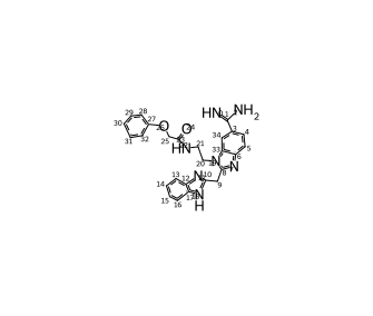 N=C(N)c1ccc2nc(Cc3nc4ccccc4[nH]3)n(CCNC(=O)COc3ccccc3)c2c1